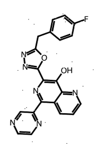 Oc1c(-c2nnc(Cc3ccc(F)cc3)o2)nc(-c2cnccn2)c2cccnc12